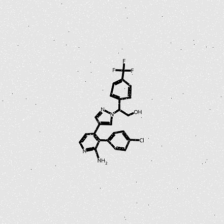 Nc1nccc(-c2cnn(C(CO)c3ccc(C(F)(F)F)cc3)c2)c1-c1ccc(Cl)cc1